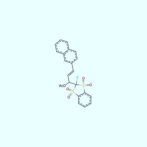 CC(=O)OC(C=Cc1ccc2ccccc2c1)C1(F)S(=O)(=O)c2ccccc2S1(=O)=O